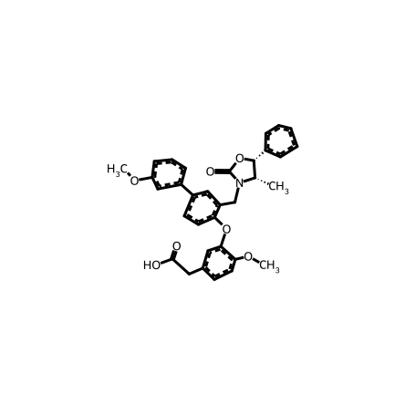 COc1cccc(-c2ccc(Oc3cc(CC(=O)O)ccc3OC)c(CN3C(=O)O[C@H](c4ccccc4)[C@@H]3C)c2)c1